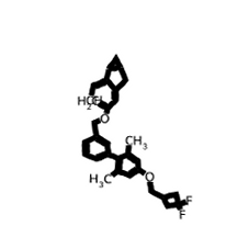 C=C(/C=C1/CC2CC2/C1=C/C)OCc1cccc(-c2c(C)cc(OCC3CC(F)(F)C3)cc2C)c1